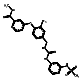 CNC(=O)c1cc(Oc2ccc(CNC(=O)Nc3cccc(NS(C)(=O)=O)c3)cc2C)ccn1